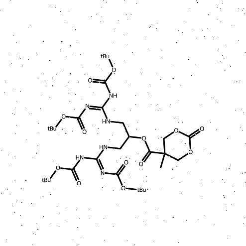 CC(C)(C)OC(=O)/N=C(\NCC(CN/C(=N\C(=O)OC(C)(C)C)NC(=O)OC(C)(C)C)OC(=O)C1(C)COC(=O)OC1)NC(=O)OC(C)(C)C